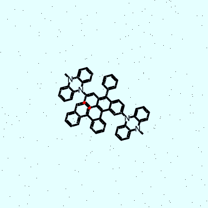 CN1c2ccccc2N(c2ccc3c(-c4ccccc4-c4cccc5ccccc45)c4cc(N5c6ccccc6N(C)c6ccccc65)ccc4c(-c4ccccc4)c3c2)c2ccccc21